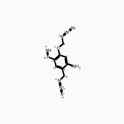 [N-]=[N+]=NCOc1cc(N)c(CN=[N+]=[N-])cc1N=N